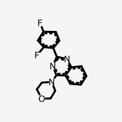 Fc1ccc(-c2nc(N3CCOCC3)c3ccccc3n2)c(F)c1